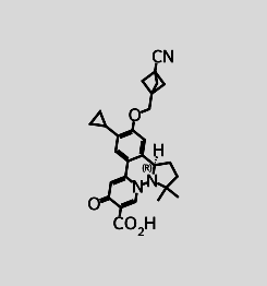 CC1(C)CC[C@@H]2c3cc(OCC45CC(C#N)(C4)C5)c(C4CC4)cc3-c3cc(=O)c(C(=O)O)cn3N21